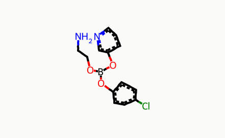 NCCOB(Oc1ccc(Cl)cc1)Oc1cccnc1